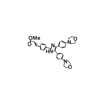 COC(=O)/C=C/c1ccc(-c2nc(-c3ccc(N4CCOCC4)cc3)c(-c3ccc(N4CCOCC4)cc3)[nH]2)cc1